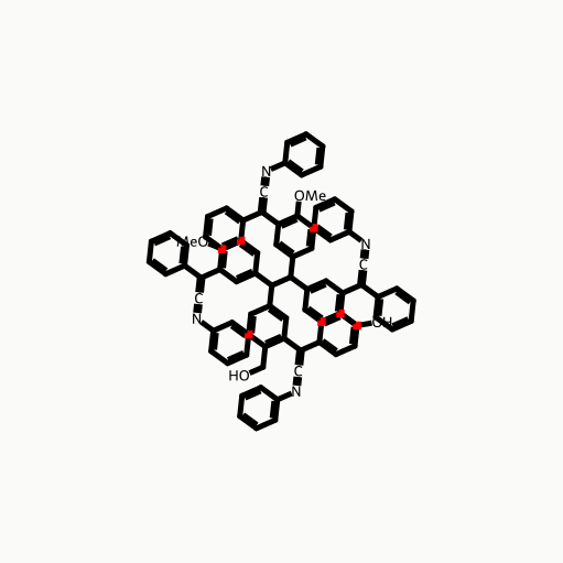 COc1ccc(C(c2ccc(CO)c(C(=C=Nc3ccccc3)c3ccccc3)c2)C(c2ccc(CO)c(C(=C=Nc3ccccc3)c3ccccc3)c2)c2ccc(OC)c(C(=C=Nc3ccccc3)c3ccccc3)c2)cc1C(=C=Nc1ccccc1)c1ccccc1